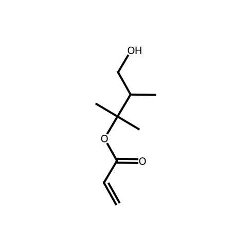 C=CC(=O)OC(C)(C)C(C)CO